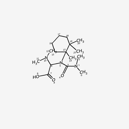 CN(C)C(=O)N(C(C(=O)O)N(C)C)C1(C)CCCCC1(C)C